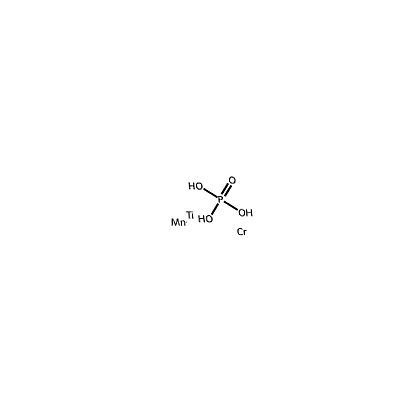 O=P(O)(O)O.[Cr].[Mn].[Ti]